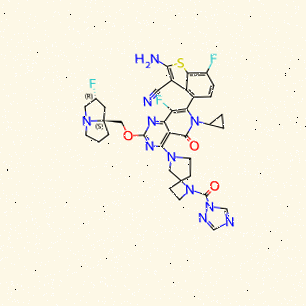 N#Cc1c(N)sc2c(F)ccc(-c3c(F)c4nc(OC[C@@]56CCCN5C[C@H](F)C6)nc(N5CCC6(CCN6C(=O)n6cncn6)C5)c4c(=O)n3C3CC3)c12